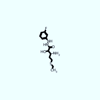 CCSCC[C@@H](N)C(O)C(=O)NNc1cccc(F)c1